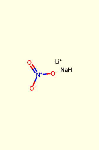 O=[N+]([O-])[O-].[Li+].[NaH]